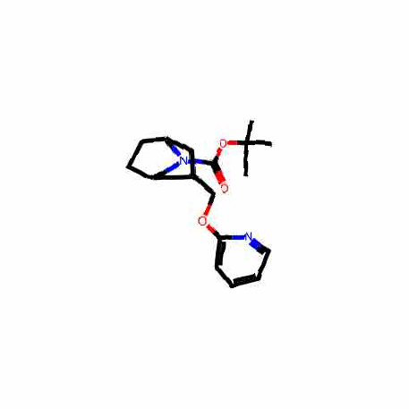 CC(C)(C)OC(=O)N1C2CCC1C(COc1ccccn1)C2